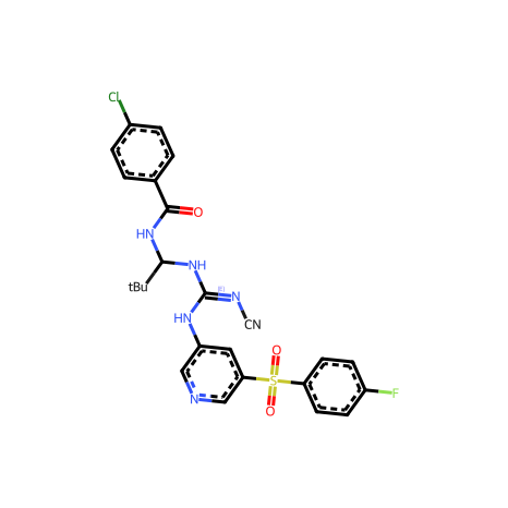 CC(C)(C)C(NC(=O)c1ccc(Cl)cc1)N/C(=N/C#N)Nc1cncc(S(=O)(=O)c2ccc(F)cc2)c1